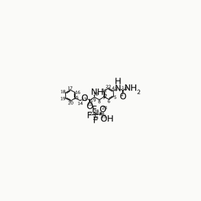 NC(=O)Nc1ccc(CC(N)C(=O)OCc2ccccc2)cc1.O=C(O)C(F)(F)F